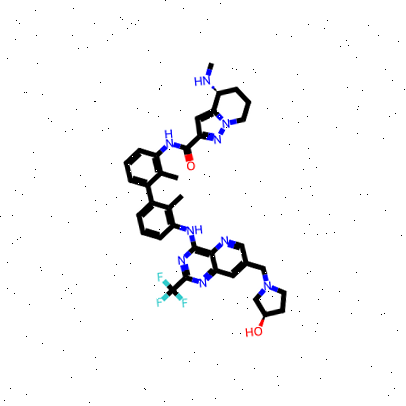 CN[C@@H]1CCCn2nc(C(=O)Nc3cccc(-c4cccc(Nc5nc(C(F)(F)F)nc6cc(CN7CC[C@@H](O)C7)cnc56)c4C)c3C)cc21